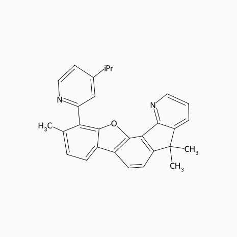 Cc1ccc2c(oc3c4c(ccc32)C(C)(C)c2cccnc2-4)c1-c1cc(C(C)C)ccn1